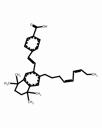 CC/C=C\C=C/CCCc1cc2c(cc1/C=C/c1ccc(C(=O)O)cc1)C(C)(C)CCC2(C)C